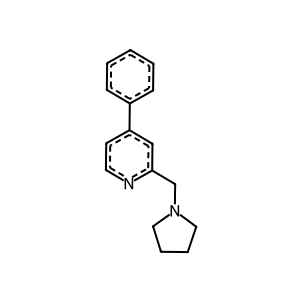 c1ccc(-c2ccnc(CN3CCCC3)c2)cc1